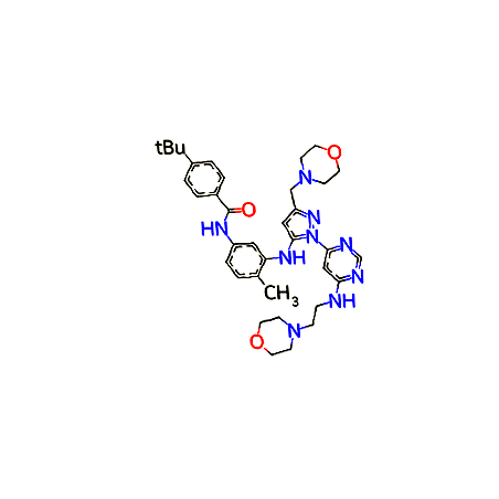 Cc1ccc(NC(=O)c2ccc(C(C)(C)C)cc2)cc1Nc1cc(CN2CCOCC2)nn1-c1cc(NCCN2CCOCC2)ncn1